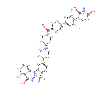 CC1(C)c2ccc(C3CCN(C4CCN(C(=O)C5CCN(c6cc(F)c(C7CCC(=O)NC7=O)c(F)c6)CC5)CC4)CC3)cc2-n2c1nc(=O)c1c(Cl)cccc12